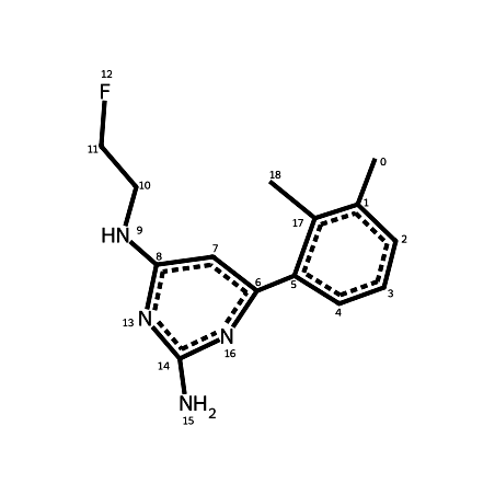 Cc1cccc(-c2cc(NCCF)nc(N)n2)c1C